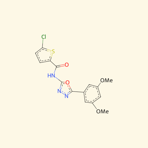 COc1cc(OC)cc(-c2nnc(NC(=O)c3ccc(Cl)s3)o2)c1